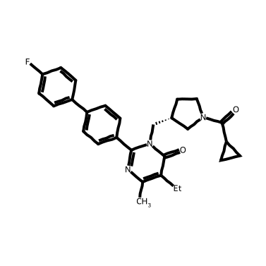 CCc1c(C)nc(-c2ccc(-c3ccc(F)cc3)cc2)n(C[C@@H]2CCN(C(=O)C3CC3)C2)c1=O